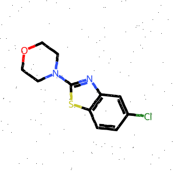 Clc1ccc2sc(N3CCOCC3)nc2c1